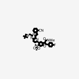 CNC(=O)c1c(-c2ccc(F)cc2)oc2cc(N(C)S(C)(=O)=O)c(-c3ccc4nc(CN5CC(C)(C)C5)n5c6cccc(C#N)c6cc5c4n3)cc12